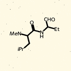 CCC(C=O)NC(=O)C(CC(C)C)NC